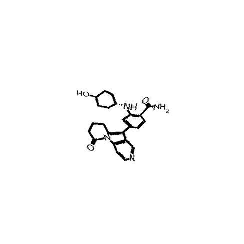 NC(=O)c1ccc(-c2c3n(c4ccncc24)C(=O)CCC3)cc1N[C@H]1CC[C@H](O)CC1